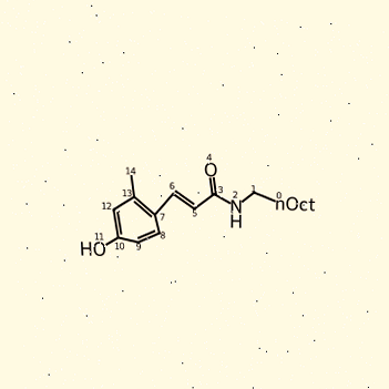 CCCCCCCCCNC(=O)C=Cc1ccc(O)cc1C